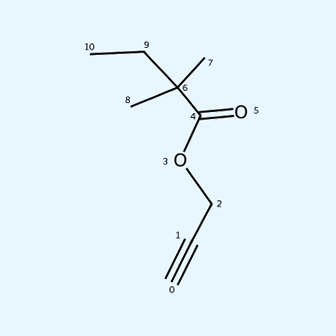 C#CCOC(=O)C(C)(C)CC